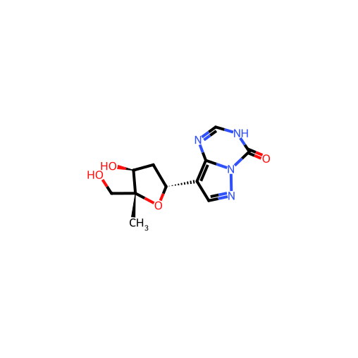 C[C@]1(CO)O[C@@H](c2cnn3c(=O)[nH]cnc23)C[C@@H]1O